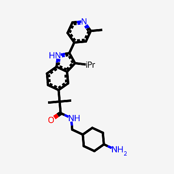 Cc1cc(-c2[nH]c3ccc(C(C)(C)C(=O)NCC4CCC(N)CC4)cc3c2C(C)C)ccn1